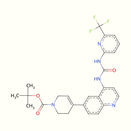 CC(C)(C)OC(=O)N1CC=C(c2ccc3nccc(NC(=O)Nc4cccc(C(F)(F)F)n4)c3c2)CC1